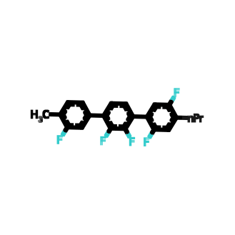 CCCc1cc(F)c(-c2ccc(-c3ccc(C)c(F)c3)c(F)c2F)cc1F